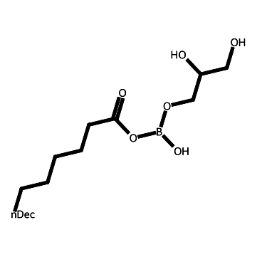 CCCCCCCCCCCCCCCC(=O)OB(O)OCC(O)CO